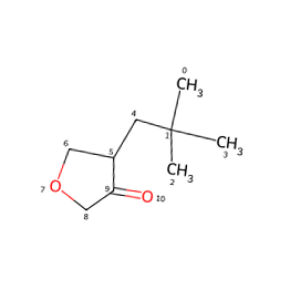 CC(C)(C)CC1COCC1=O